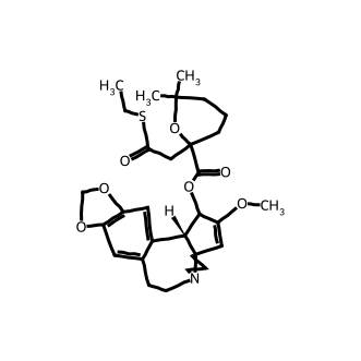 CCSC(=O)CC1(C(=O)OC2C(OC)=CC34CCCN3CCc3cc5c(cc3[C@H]24)OCO5)CCCC(C)(C)O1